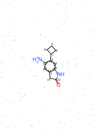 Nc1cc2c(cc1C1CCC1)NC(=O)C2